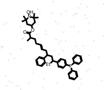 CCC(CC(C/C=C/CCC(C)C(=O)OC1CC(C)(C)N(O)C(C)(C)C1)c1ccccc1)c1ccc(P(c2ccccc2)c2ccccc2)cc1